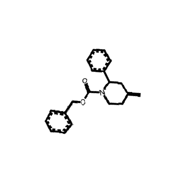 C=C1CCN(C(=O)OCc2ccccc2)C(c2ccccc2)C1